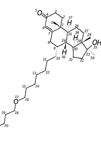 C[C@]12CCC(=O)C=C1C[C@@H](CCCCCCCOCCCCC#N)[C@@H]1[C@@H]2CC[C@@]2(C)[C@H]1CC[C@]2(C)O